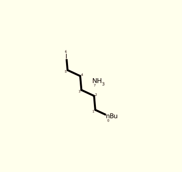 CCCCCCCCCI.N